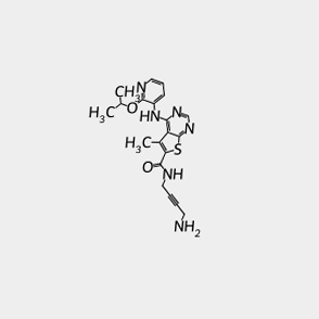 Cc1c(C(=O)NCC#CCN)sc2ncnc(Nc3cccnc3OC(C)C)c12